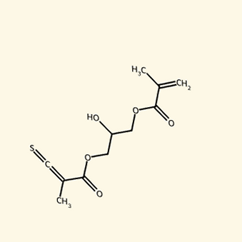 C=C(C)C(=O)OCC(O)COC(=O)C(C)=C=S